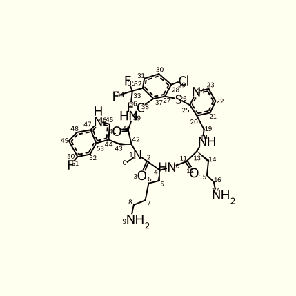 CN1C(=O)[C@H](CCCCN)NC(=O)[C@H](CCCN)NCc2cccnc2Sc2c(Cl)ccc(C(F)(F)F)c2CNC(=O)[C@@H]1Cc1c[nH]c2ccc(F)cc12